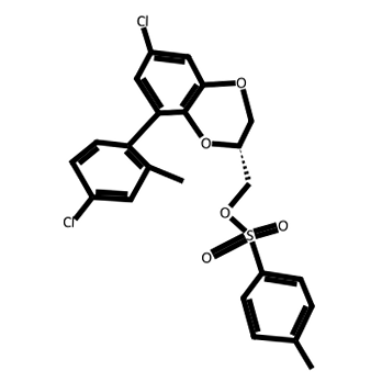 Cc1ccc(S(=O)(=O)OC[C@H]2COc3cc(Cl)cc(-c4ccc(Cl)cc4C)c3O2)cc1